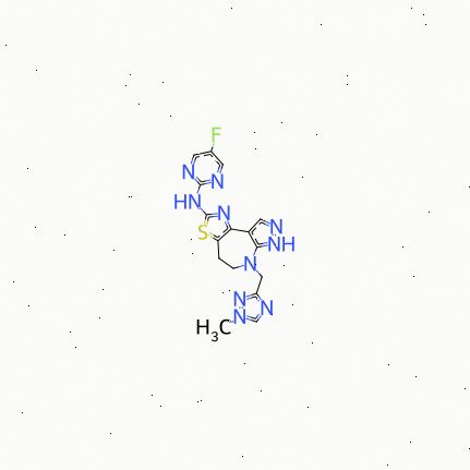 Cn1cnc(CN2CCc3sc(Nc4ncc(F)cn4)nc3-c3cn[nH]c32)n1